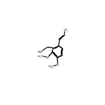 C/C=C/c1ccc(OC)c(OC)c1CO